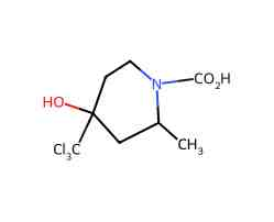 CC1CC(O)(C(Cl)(Cl)Cl)CCN1C(=O)O